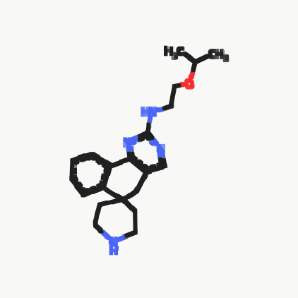 CC(C)OCCNc1ncc2c(n1)-c1ccccc1C1(CCNCC1)C2